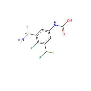 C[C@@H](N)c1cc(NC(=O)O)cc(C(F)F)c1F